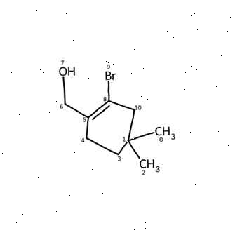 CC1(C)CCC(CO)=C(Br)C1